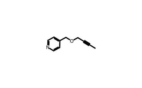 CC#CCOCc1ccncc1